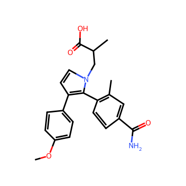 COc1ccc(-c2ccn(CC(C)C(=O)O)c2-c2ccc(C(N)=O)cc2C)cc1